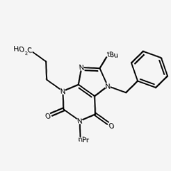 CCCn1c(=O)c2c(nc(C(C)(C)C)n2Cc2ccccc2)n(CCC(=O)O)c1=O